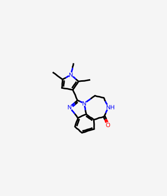 Cc1cc(-c2nc3cccc4c3n2CCNC4=O)c(C)n1C